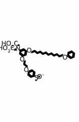 C[S+]([O-])c1ccc(OCCCOc2cc(OCCCCCCCCCCCCOc3ccccc3)cc(N(CC(=O)O)CC(=O)O)c2)cc1